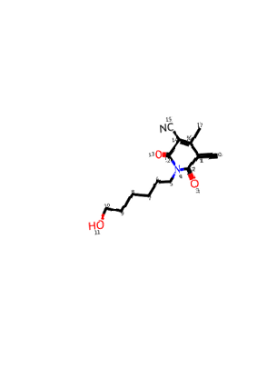 C=C1C(=O)N(CCCCCCO)C(=O)C(C#N)=C1C